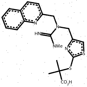 CNC(=N)N(Cc1csc(SC(C)(C)C(=O)O)n1)Cc1ccc2ccccc2n1